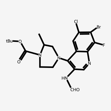 CC1CN(c2c(NC=O)cnc3c(F)c(Br)c(Cl)cc23)CCN1C(=O)OC(C)(C)C